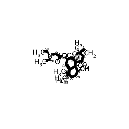 C=C[C@@]1(C)CC(=O)[C@@]2(O)[C@](C)(O1)[C@@H](OC(=O)CN(CC)CC)C=C1C(C)(C)CC[C@H](O)[C@@]12C.Cl